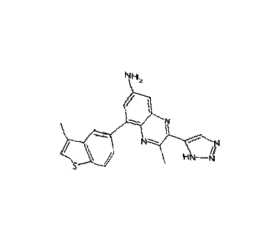 Cc1nc2c(-c3ccc4scc(C)c4c3)cc(N)cc2nc1-c1cnn[nH]1